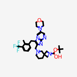 Cc1c(Cc2c(CN3CCCC4(C3)CN(C(O)OC(C)(C)C)C4)nc3ncc(N4CCOCC4)cn23)cccc1C(F)(F)F